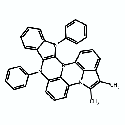 Cc1c(C)n2c3c(cccc13)B1c3c(cccc3-2)N(c2ccccc2)c2c1n(-c1ccccc1)c1ccccc21